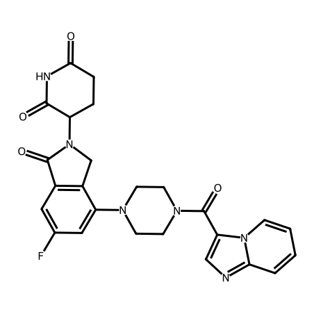 O=C1CCC(N2Cc3c(cc(F)cc3N3CCN(C(=O)c4cnc5ccccn45)CC3)C2=O)C(=O)N1